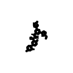 CCn1ccc(-c2cc(-c3cnn(C)c3)cc([C@@H](C)NC(=O)c3cc(N4CCN(C)C[C@@H]4C)ccc3C)c2)n1